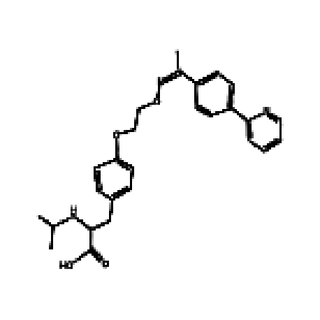 CC(=NOCCOc1ccc(CC(NC(C)C)C(=O)O)cc1)c1ccc(-c2ccccn2)cc1